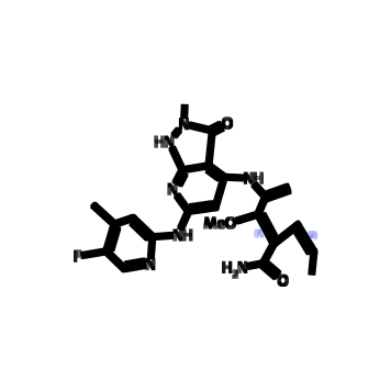 C=C(Nc1cc(Nc2cc(C)c(F)cn2)nc2[nH]n(C)c(=O)c12)/C(OC)=C(\C=C/C)C(N)=O